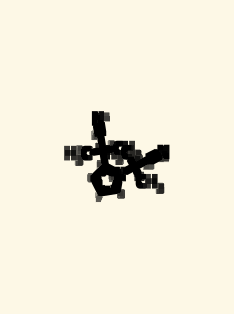 CC(C)(C#N)c1cccn1C(C)(C)C#N